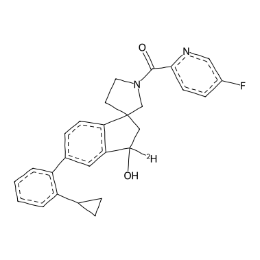 [2H]C1(O)CC2(CCN(C(=O)c3ccc(F)cn3)C2)c2ccc(-c3ccccc3C3CC3)cc21